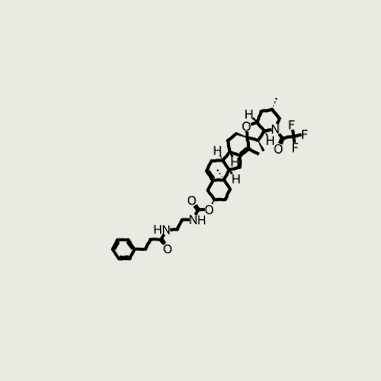 CC1=C2C[C@H]3[C@@H](CC=C4C[C@@H](OC(=O)NCCNC(=O)CCc5ccccc5)CC[C@@]43C)[C@@H]2CC[C@]12O[C@@H]1C[C@H](C)CN(C(=O)C(F)(F)F)[C@H]1[C@H]2C